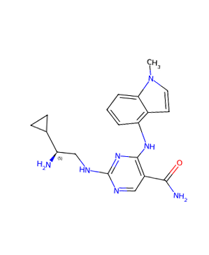 Cn1ccc2c(Nc3nc(NC[C@@H](N)C4CC4)ncc3C(N)=O)cccc21